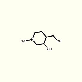 CN1CC[C@@H](CO)[C@H](O)C1